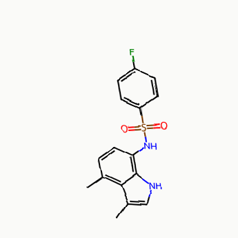 Cc1ccc(NS(=O)(=O)c2ccc(F)cc2)c2[nH]cc(C)c12